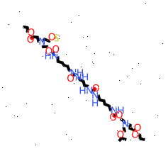 CCCOC(=O)CCN(CCOSC)CCOC(=O)NCCCCCCNC(=O)NCCCCNC(=O)NCCCCCCNC(=O)OCCN(CCOC(C)C)CCC(=O)OCCC